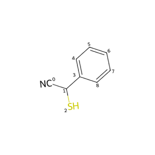 N#CC(S)c1ccccc1